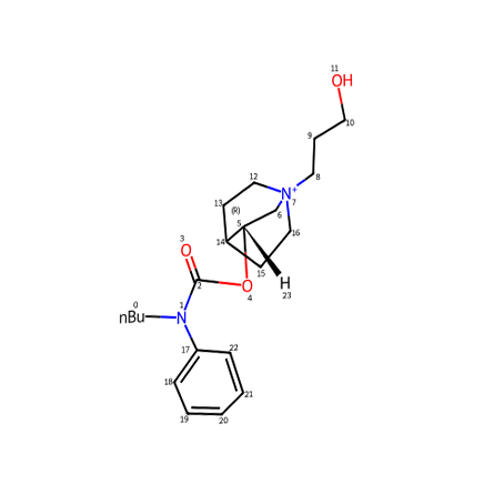 CCCCN(C(=O)O[C@H]1C[N+]2(CCCO)CCC1CC2)c1ccccc1